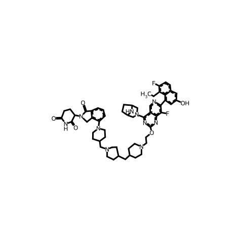 CCc1c(F)ccc2cc(O)cc(-c3ncc4c(N5CC6CCC(C5)N6)nc(OCCN5CCC(CC6CCN(CC7CCN(c8cccc9c8CN(C8CCC(=O)NC8=O)C9=O)CC7)CC6)CC5)nc4c3F)c12